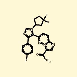 NC(=O)c1cnc2ccc(-c3c(-c4ccc(F)cc4)ncn3C3CCC(F)(F)C3)nn12